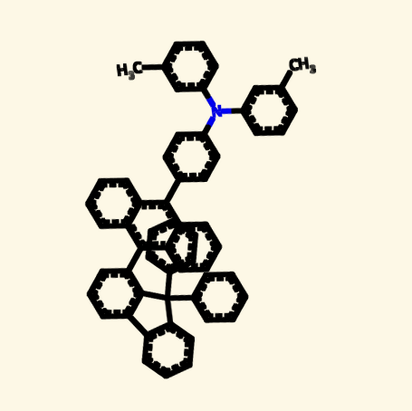 Cc1cccc(N(c2ccc(-c3c4ccccc4c(-c4cccc5c4C(c4ccccc4)(c4ccccc4)c4ccccc4-5)c4ccccc34)cc2)c2cccc(C)c2)c1